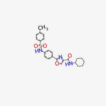 Cc1ccc(S(=O)(=O)Nc2ccc(-c3nc(C(=O)NC4CCCCC4)co3)cc2)cc1